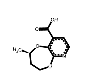 C[C@@H]1CCOc2nccc(C(=O)O)c2O1